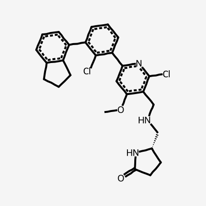 COc1cc(-c2cccc(-c3cccc4c3CCC4)c2Cl)nc(Cl)c1CNC[C@@H]1CCC(=O)N1